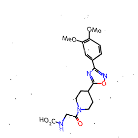 COc1ccc(-c2noc(C3CCN(C(=O)CNC(=O)O)CC3)n2)cc1OC